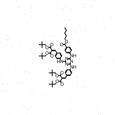 CCCCCOC(=O)c1ccc(Nc2nc(Nc3ccc(C=C(C(=O)OCC(C)(C)C)C(=O)OCC(C)(C)C)cc3)nc(Nc3ccc(C=C(C(=O)OCC(C)(C)C)C(=O)OCC(C)(C)C)cc3)n2)cc1